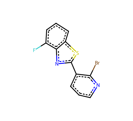 Fc1cccc2sc(-c3cccnc3Br)nc12